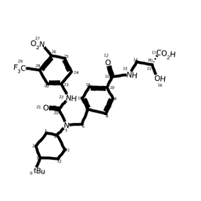 CC(C)(C)C1CCC(N(Cc2ccc(C(=O)NC[C@@H](O)C(=O)O)cc2)C(=O)Nc2ccc([N+](=O)[O-])c(C(F)(F)F)c2)CC1